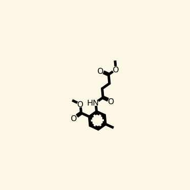 COC(=O)CCC(=O)Nc1cc(C)ccc1C(=O)OC